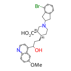 COc1ccc2nccc(C(O)CC[C@@H]3CCN(C4Cc5cccc(Br)c5C4)C[C@@H]3C(=O)O)c2c1